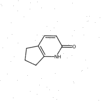 O=c1c[c]c2c([nH]1)CCC2